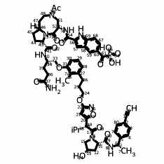 C#Cc1ccc([C@H](C)NC(=O)[C@@H]2C[C@@H](O)CN2C(=O)[C@@H](c2cc(OCCCc3cccc(OC[C@H](CCC(N)=O)NC(=O)[C@@H]4CC[C@@H]5CCN(C(C)=O)C[C@H](NC(=O)c6cc7cc(C(=O)P(=O)(O)O)ccc7[nH]6)C(=O)N54)c3C)no2)C(C)C)cc1